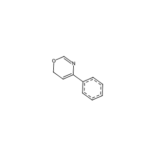 C1=NC(c2ccccc2)=CCO1